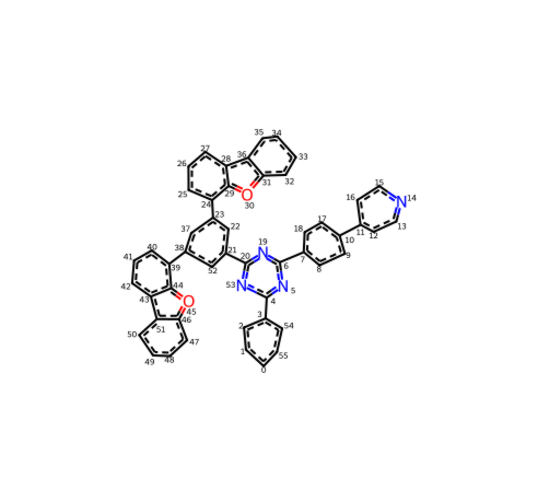 c1ccc(-c2nc(-c3ccc(-c4ccncc4)cc3)nc(-c3cc(-c4cccc5c4oc4ccccc45)cc(-c4cccc5c4oc4ccccc45)c3)n2)cc1